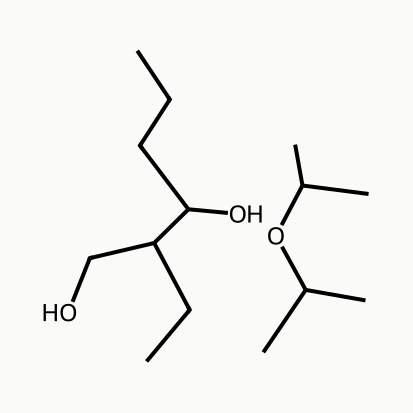 CC(C)OC(C)C.CCCC(O)C(CC)CO